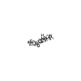 Cc1nc(C)c(-c2csc(Nc3ccc(C(=O)N4CCC(C(F)(F)F)CC4)cn3)n2)s1